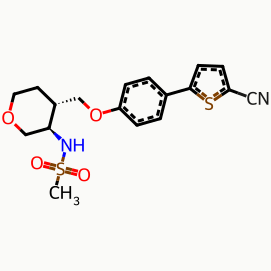 CS(=O)(=O)N[C@H]1COCC[C@@H]1COc1ccc(-c2ccc(C#N)s2)cc1